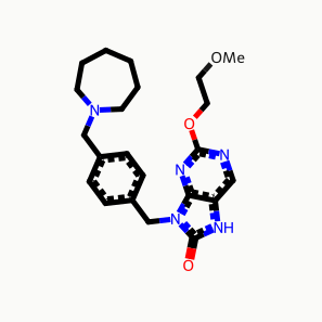 COCCOc1ncc2[nH]c(=O)n(Cc3ccc(CN4CCCCCC4)cc3)c2n1